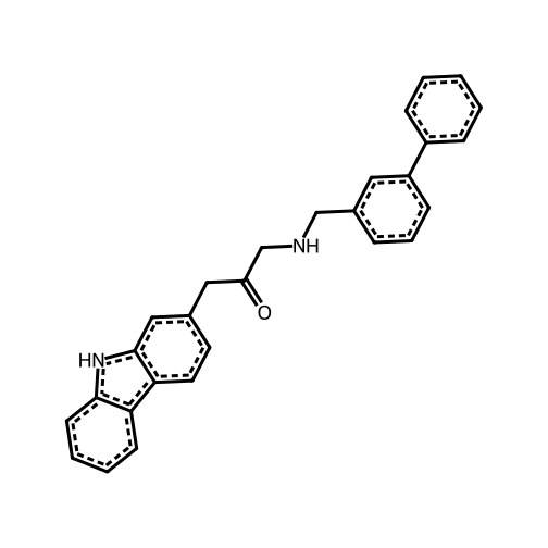 O=C(CNCc1cccc(-c2ccccc2)c1)Cc1ccc2c(c1)[nH]c1ccccc12